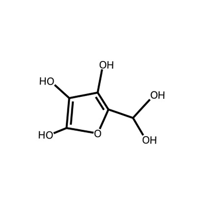 Oc1oc(C(O)O)c(O)c1O